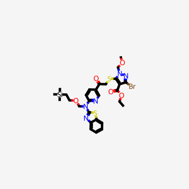 CCOC(=O)c1c(Br)nn(COC)c1SCC(=O)c1ccc(N(COCC[Si](C)(C)C)c2nc3ccccc3s2)nc1